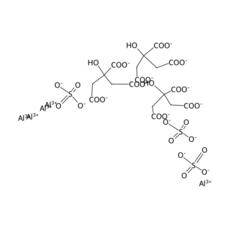 O=C([O-])CC(O)(CC(=O)[O-])C(=O)[O-].O=C([O-])CC(O)(CC(=O)[O-])C(=O)[O-].O=C([O-])CC(O)(CC(=O)[O-])C(=O)[O-].O=S(=O)([O-])[O-].O=S(=O)([O-])[O-].O=S(=O)([O-])[O-].[Al+3].[Al+3].[Al+3].[Al+3].[Al+3]